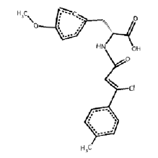 COc1ccc(C[C@@H](NC(=O)C=C(Cl)c2ccc(C)cc2)C(=O)O)cc1